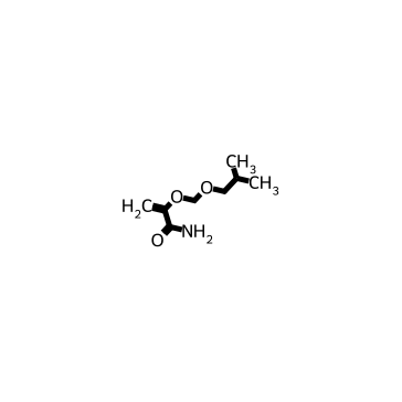 C=C(OCOCC(C)C)C(N)=O